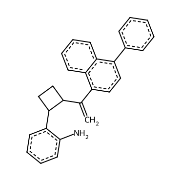 C=C(c1ccc(-c2ccccc2)c2ccccc12)C1CCC1c1ccccc1N